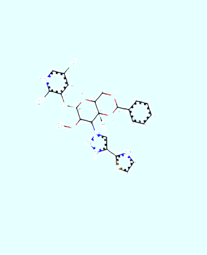 CCOC1C(n2cc(-c3nccs3)nn2)[C@H]2OC(c3ccccc3)OCC2O[C@@H]1Sc1cc(Cl)cnc1C#N